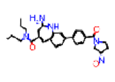 CCCN(CCC)C(=O)C1=Cc2ccc(-c3ccc(C(=O)N4CC[C@H](N=O)C4)cc3)cc2NC(N)C1